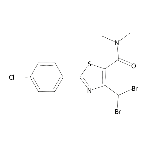 CN(C)C(=O)c1sc(-c2ccc(Cl)cc2)nc1C(Br)Br